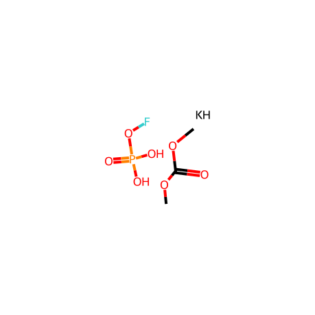 COC(=O)OC.O=P(O)(O)OF.[KH]